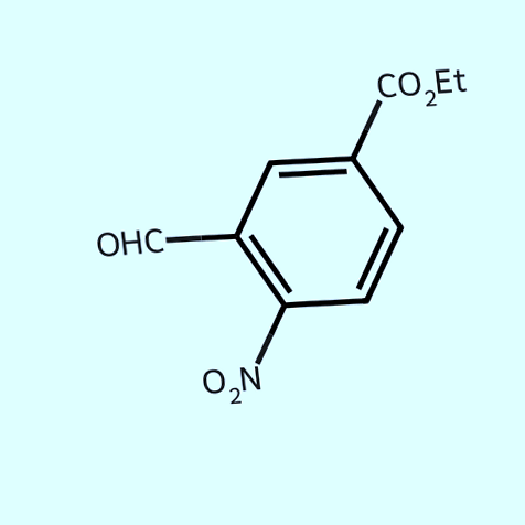 CCOC(=O)c1ccc([N+](=O)[O-])c(C=O)c1